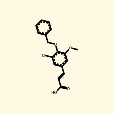 COc1cc(/C=C/C(=O)O)cc(Cl)c1OCc1ccccc1